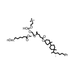 C=C(CCC(=O)OC1CCC(C)(C2CCC(C)(C(C)[C@@H](C)CCCC(C)C)CC2)CC1)O[C@H](COC(=O)CCCCCCCCCCCCCCC)COP(O)OCC[N+](C)(C)C